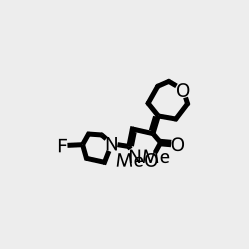 CN/C(=C\C(C(=O)OC)=C1/CCCOCC1)N1CCC(F)CC1